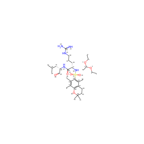 CCOC(C)OCC.Cc1c(C)c(S(=O)(=O)N[C@@H](CCCNC(=N)N)C(=O)N[C@H](C=O)CC(C)C)c(C)c2c1OC(C)(C)CC2